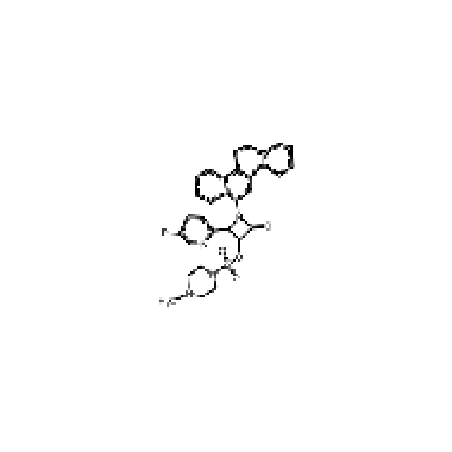 CN1CCN(S(=O)(=O)OC2C(=O)N(c3cc4c5ccccc5ccc4c4ccccc34)C2c2ccc(F)cn2)CC1